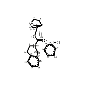 Cl.O=C(O[C@H]1CN2CCC1CC2)N1CCc2ccccc2[C@H]1c1ccccc1